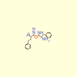 CN(C)C(CCc1ccccc1)C(=N)OC(=N)[C@](C)(N)Cc1ccccc1